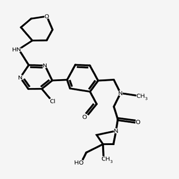 CN(CC(=O)N1CC(C)(CO)C1)Cc1ccc(-c2nc(NC3CCOCC3)ncc2Cl)cc1C=O